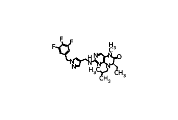 CC[C@@H]1C(=O)N(C)c2cnc(NCc3cnn(Cc4cc(F)c(F)c(F)c4)c3)nc2N1CC(C)C